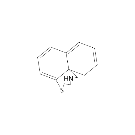 C1=CCC23CNCCSC2=CC=CC3=C1